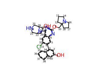 Oc1cc(-c2cc3nc(OCC45CCCN4CCC5)nc(N4C5CNCC4C(O)C5)c3cc2Cl)c2ccccc2c1